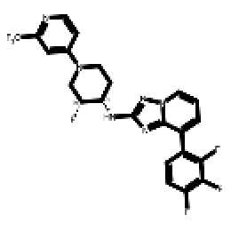 Fc1ccc(-c2cccn3nc(N[C@H]4CCN(c5ccnc(C(F)(F)F)c5)C[C@H]4F)nc23)c(F)c1F